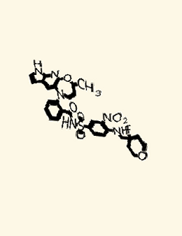 CC1CCN(c2ccccc2C(=O)NS(=O)(=O)c2ccc(NCC3(F)CCOCC3)c([N+](=O)[O-])c2)c2cc3cc[nH]c3nc2O1